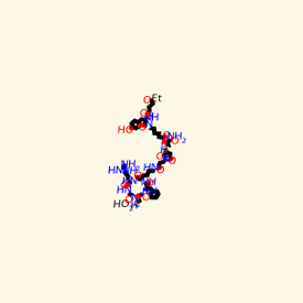 CCC(=O)CCCC(=O)NC(Cc1ccc(O)cc1)C(=O)NCCCCCC(=O)NC(CSC1CC(=O)N(CCC(=O)NCCCCC2NC(=O)C(Cc3ccccc3)NC(=O)[C@@H](CC(=O)O)NC(=O)CNC(=O)[C@H](CCCNC(=N)N)NC2=O)C1=O)C(N)=O